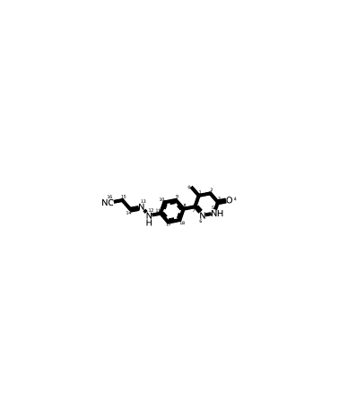 CC1CC(=O)NN=C1c1ccc(NN=CCC#N)cc1